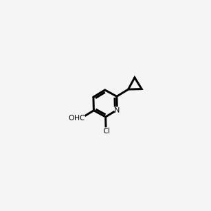 O=Cc1ccc(C2CC2)nc1Cl